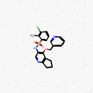 Cc1c(Cl)cccc1S(=O)(=O)Nc1cnc2c(c1OCc1cccnc1)CCC2